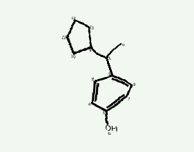 CC(c1ccc(O)cc1)C1CCCC1